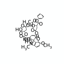 CC(=O)OC(CC(=O)O)C(=O)O.COc1ccc2c3c1O[C@H]1C(OC(=O)CC(OC(C)=O)C(=O)Oc4ccccc4)=CC[C@@]4(O)[C@@H](C2)N(C)CC[C@]314